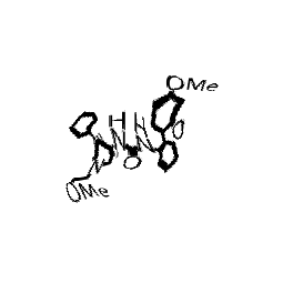 COCCN1C[C@@H](NC(=O)Nc2cccc3oc4cc(OC)ccc4c23)[C@H](c2ccccc2)C1